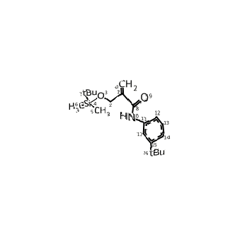 C=C(CO[Si](C)(C)C(C)(C)C)C(=O)Nc1cccc(C(C)(C)C)c1